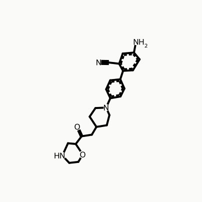 N#Cc1cc(N)ccc1-c1ccc(N2CCC(CC(=O)C3CNCCO3)CC2)cc1